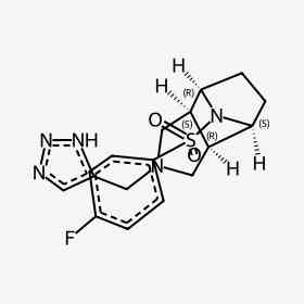 O=S(=O)(c1ccc(F)cc1)N1[C@@H]2CC[C@H]1[C@H]1CN(Cc3cnn[nH]3)C[C@H]12